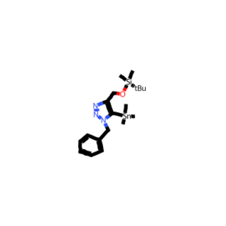 CC(C)(C)[Si](C)(C)OCc1nnn(Cc2ccccc2)[c]1[Sn]([CH3])([CH3])[CH3]